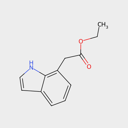 CCOC(=O)Cc1cccc2cc[nH]c12